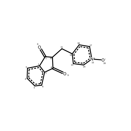 O=C1c2ccccc2C(=O)C1Cc1cc[n+]([O-])cc1